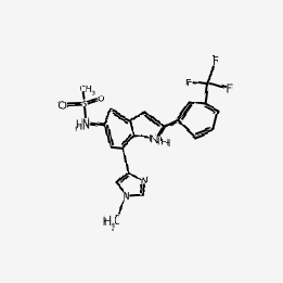 Cn1cnc(-c2cc(NS(C)(=O)=O)cc3cc(-c4cccc(C(F)(F)F)c4)[nH]c23)c1